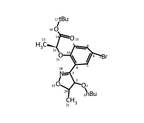 CCCCOC1C(c2cc(Br)ccc2O[C@@H](C)C(=O)OC(C)(C)C)=NOC1C